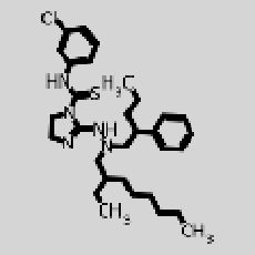 CCCCCCC(CC)CN(CC(CCC)c1ccccc1)NC1=NCCN1C(=S)Nc1cccc(Cl)c1